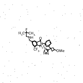 COC1CC(c2cccc(N3Cc4c(cc(CNCC(C)(C)F)cc4C(F)(F)F)C3=O)c2)(c2nncn2C)C1